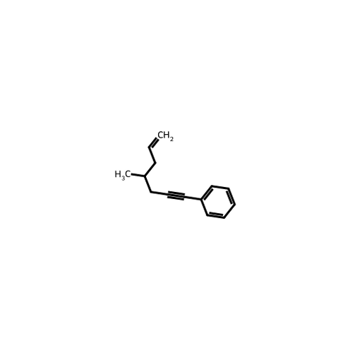 C=CCC(C)CC#Cc1ccccc1